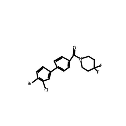 O=C(c1ccc(-c2ccc(Br)c(Cl)c2)cc1)N1CCC(F)(F)CC1